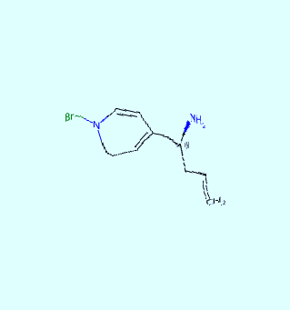 C=CC[C@H](N)C1=CCN(Br)C=C1